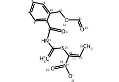 C=C(NC(=O)c1ccccc1COC=O)S/C(=C\C)[N+](=O)[O-]